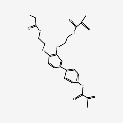 C=C(C)C(=O)OCCOc1cc(-c2ccc(OC(=O)C(=C)C)cc2)ccc1OCCOC(=O)CC